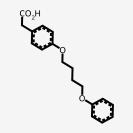 O=C(O)Cc1ccc(OCCCCOc2ccccc2)cc1